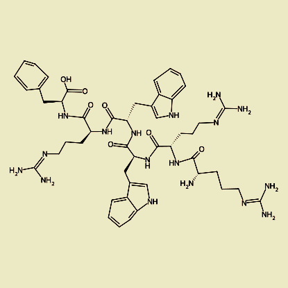 NC(N)=NCCC[C@H](NC(=O)[C@H](Cc1c[nH]c2ccccc12)NC(=O)[C@H](Cc1c[nH]c2ccccc12)NC(=O)[C@H](CCCN=C(N)N)NC(=O)[C@@H](N)CCCN=C(N)N)C(=O)N[C@@H](Cc1ccccc1)C(=O)O